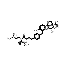 Cc1ccc([C@]23OC[C@](C(C)(C)O)(O2)[C@@H](O)[C@H](O)[C@H]3O)cc1Cc1ccc(CCCC(=O)N(CCN(C)C)C2(NC=O)CC2)cc1